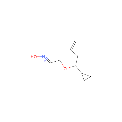 C=CCC(OC/C=N/O)C1CC1